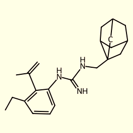 C=C(C)c1c(CC)cccc1NC(=N)NCC12CC3CC(CC1C3)C2